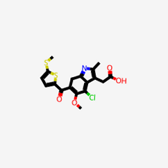 COC1=C(C(=O)c2ccc(SC)s2)CC2=NC(C)=C(CC(=O)O)C2=C1Cl